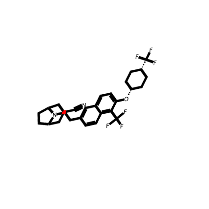 N#CC1CC2CCC(C1)N2CCc1ccc2c(C(F)(F)F)c(O[C@H]3CC[C@@H](C(F)(F)F)CC3)ccc2c1